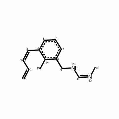 C=C/C=C\c1cccc(CN/C=N\C)c1C